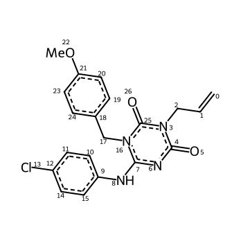 C=CCn1c(=O)nc(Nc2ccc(Cl)cc2)n(Cc2ccc(OC)cc2)c1=O